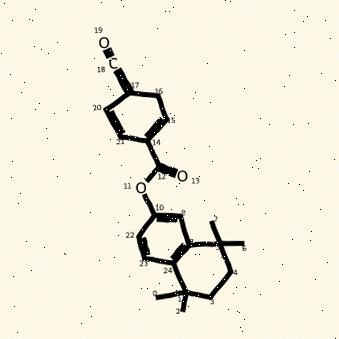 CC1(C)CCC(C)(C)c2cc(OC(=O)C3=CCC(=C=O)C=C3)ccc21